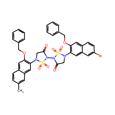 Cc1ccc2cc(OCc3ccccc3)c(N3CC(=O)N(N4C(=O)CN(c5cc6cc(Br)ccc6cc5OCc5ccccc5)S4(=O)=O)S3(=O)=O)cc2c1